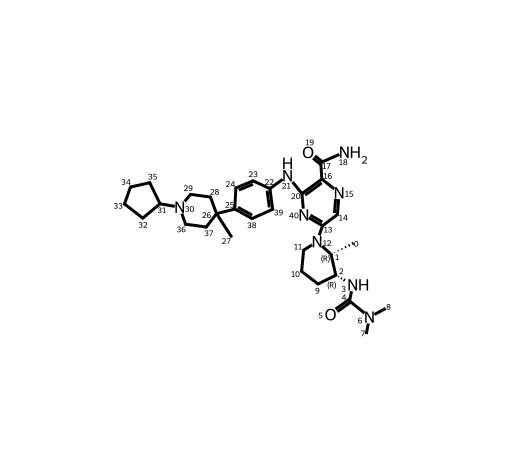 C[C@@H]1[C@H](NC(=O)N(C)C)CCCN1c1cnc(C(N)=O)c(Nc2ccc(C3(C)CCN(C4CCCC4)CC3)cc2)n1